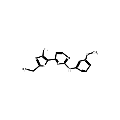 COc1cccc(Nc2nccc(-c3sc(CN)nc3C)n2)c1